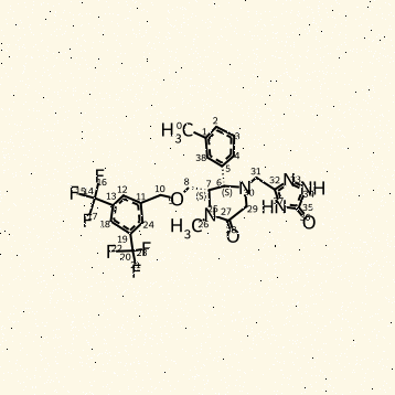 Cc1cccc([C@H]2[C@@H](COCc3cc(C(F)(F)F)cc(C(F)(F)F)c3)N(C)C(=O)CN2Cc2n[nH]c(=O)[nH]2)c1